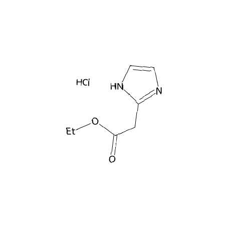 CCOC(=O)Cc1ncc[nH]1.Cl